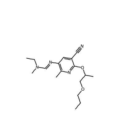 CCCOCC(C)Oc1nc(C)c(/N=C/N(C)CC)cc1C#N